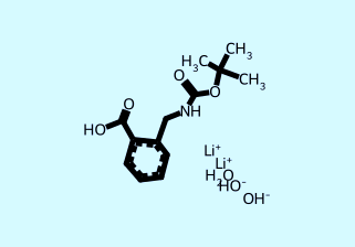 CC(C)(C)OC(=O)NCc1ccccc1C(=O)O.O.[Li+].[Li+].[OH-].[OH-]